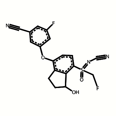 N#CN=S(=O)(CF)c1ccc(Oc2cc(F)cc(C#N)c2)c2c1C(O)CC2